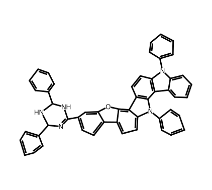 c1ccc(C2N=C(c3ccc4c(c3)oc3c4ccc4c3c3ccc5c(c6ccccc6n5-c5ccccc5)c3n4-c3ccccc3)NC(c3ccccc3)N2)cc1